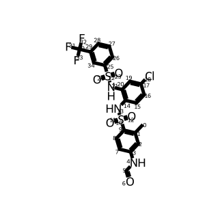 Cc1cc(NC=O)ccc1S(=O)(=O)Nc1ccc(Cl)cc1NS(=O)(=O)c1cccc(C(F)(F)F)c1